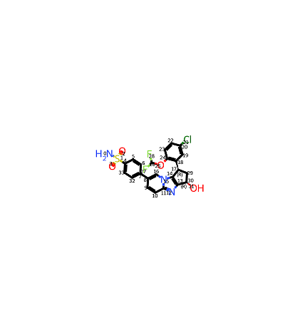 NS(=O)(=O)c1ccc(-c2ccc3nc4c(n3c2)[C@@H](c2cc(Cl)ccc2OC(F)F)C[C@H]4O)cc1